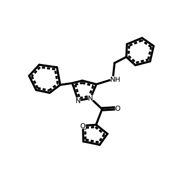 O=C(c1ccco1)n1nc(-c2ccccc2)cc1NCc1ccccc1